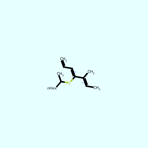 C=C/C=C(SC(C)CCCCCC)/C(C)=C/C